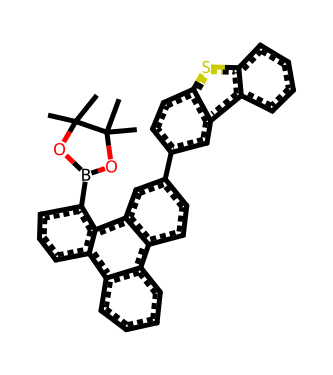 CC1(C)OB(c2cccc3c4ccccc4c4ccc(-c5ccc6sc7ccccc7c6c5)cc4c23)OC1(C)C